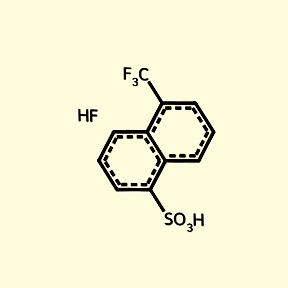 F.O=S(=O)(O)c1cccc2c(C(F)(F)F)cccc12